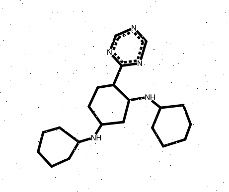 c1ncnc(C2CCC(NC3CCCCC3)CC2NC2CCCCC2)n1